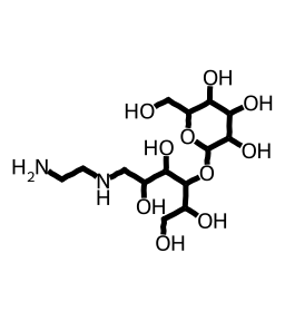 NCCNCC(O)C(O)C(OC1OC(CO)C(O)C(O)C1O)C(O)CO